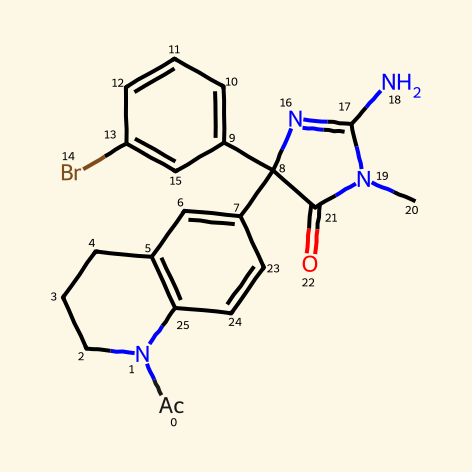 CC(=O)N1CCCc2cc(C3(c4cccc(Br)c4)N=C(N)N(C)C3=O)ccc21